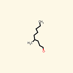 CCCCCC(C)CCC[O]